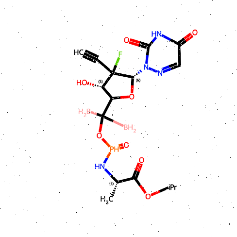 BC(B)(O[PH](=O)N[C@@H](C)C(=O)OC(C)C)C1O[C@@H](n2ncc(=O)[nH]c2=O)C(F)(C#C)[C@H]1O